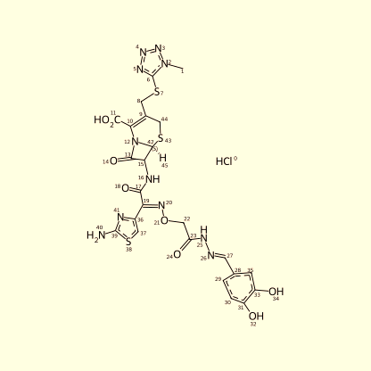 Cl.Cn1nnnc1SCC1=C(C(=O)O)N2C(=O)C(NC(=O)C(=NOCC(=O)NN=Cc3ccc(O)c(O)c3)c3csc(N)n3)[C@@H]2SC1